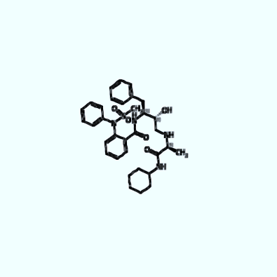 C[C@H](NC[C@@H](O)[C@H](Cc1ccccc1)NC(=O)c1ccccc1N(c1ccccc1)S(C)(=O)=O)C(=O)NC1CCCCC1